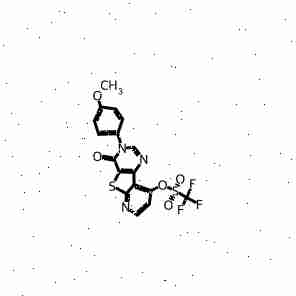 COc1ccc(-n2cnc3c(sc4nccc(OS(=O)(=O)C(F)(F)F)c43)c2=O)cc1